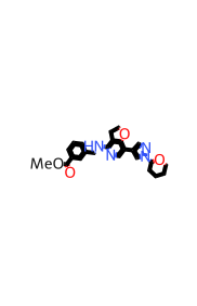 COC(=O)c1cccc(CNc2ncc(-c3cnn(C4CCCCO4)c3)c3c2CCO3)c1